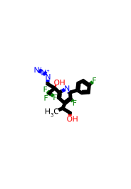 CC(CO)c1cc([C@@](O)(CN=[N+]=[N-])C(F)(F)F)nc(-c2ccc(F)cc2)c1F